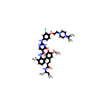 CC[C@@H](C)NC(=O)CCc1ccc(Oc2nc(Nc3ccc(OCCN4CCN(C(C)C)CC4)c(F)c3)ncc2C(=O)Nc2c(C)cccc2C)c(OC)c1